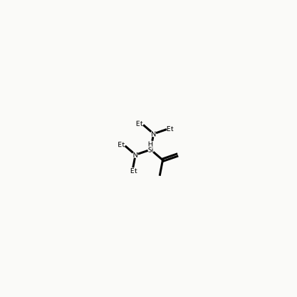 C=C(C)[SiH](N(CC)CC)N(CC)CC